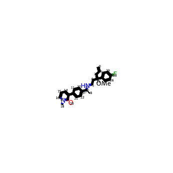 C=CC[C@](CCN[C@@H](C)c1ccc(-c2cccn(C)c2=O)cc1)(OC)c1ccc(F)cc1